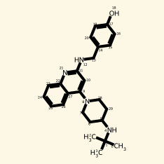 CC(C)(C)NC1CCN(c2cc(NCc3ccc(O)cc3)nc3ccccc23)CC1